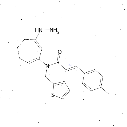 Cc1ccc(/C=C/C(=O)N(Cc2cccs2)C2=CCCCC(NN)=C2)cc1